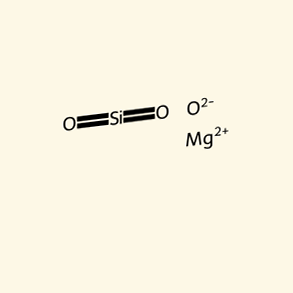 O=[Si]=O.[Mg+2].[O-2]